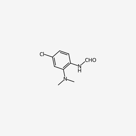 CN(C)c1cc(Cl)ccc1NC=O